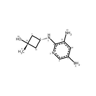 Bc1cnc(N[C@H]2C[C@@](C)(O)C2)c(N)c1